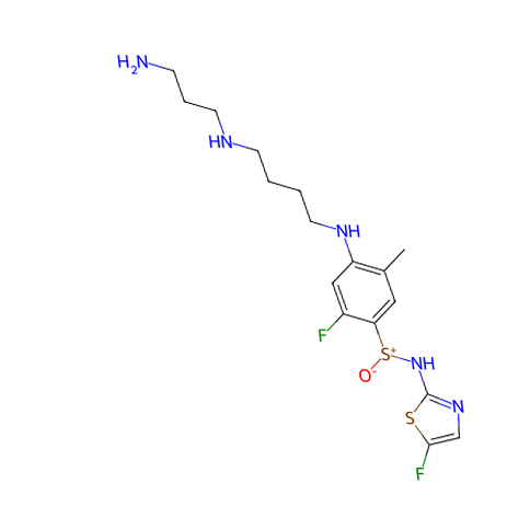 Cc1cc([S+]([O-])Nc2ncc(F)s2)c(F)cc1NCCCCNCCCN